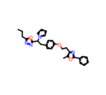 CCCc1nnc(C(Cc2ccc(OCCc3nc(-c4ccccc4)oc3C)cc2)n2cccc2)o1